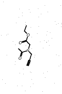 C#CCN(CC(=O)OCC)C(C)=O